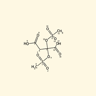 CS(=O)(=O)OC(CC(=O)O)(OS(C)(=O)=O)C(=O)O